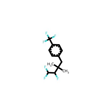 CC(C)(Cc1ccc(C(F)(F)F)cc1)C(F)C(F)F